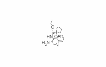 CCOC[C@@H](Nc1c(N)cnc2ccccc12)C1(O)CCCC1